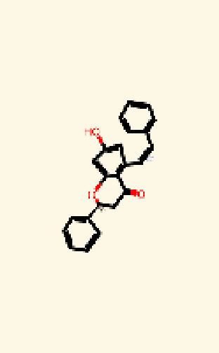 O=C1C[C@@H](c2ccccc2)Oc2cc(O)cc(/C=C\c3ccccc3)c21